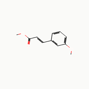 CC(C)OC(=O)/C=C/c1cccc(OC(C)C)c1